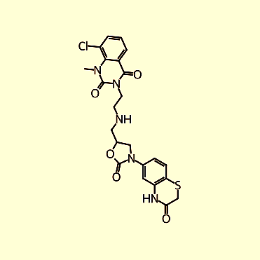 Cn1c(=O)n(CCNCC2CN(c3ccc4c(c3)NC(=O)CS4)C(=O)O2)c(=O)c2cccc(Cl)c21